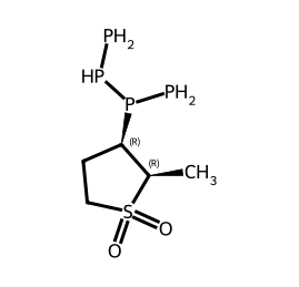 C[C@@H]1[C@H](P(P)PP)CCS1(=O)=O